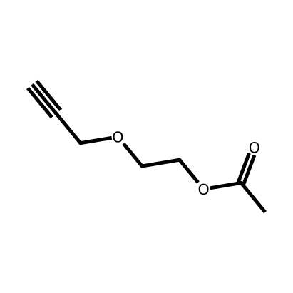 C#CCOCCOC(C)=O